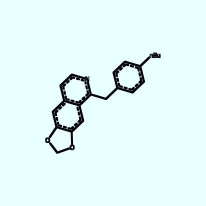 CCCCc1ccc(Cc2nccc3cc4c(cc23)OCO4)cc1